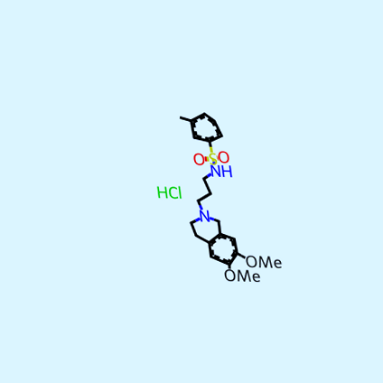 COc1cc2c(cc1OC)CN(CCCNS(=O)(=O)c1cccc(C)c1)CC2.Cl